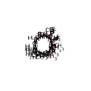 CC[C@H](C)[C@@H]1NC(=O)[C@H](CC(C)C)N(C)C(=O)C[C@@H](C(=O)N(C)C)N(C)C(=O)[C@H](C2CCCC2)N(C)C(=O)[C@H](COC)NC(=O)[C@H](CCN2CC(F)(F)C2)N(C)C(=O)[C@H](CCc2ccc(C(F)(F)F)c(Cl)c2)NC(=O)CN(C)C(=O)[C@H](CC2CCCCC2)N(C)C(=O)[C@@H]2CCN2C(=O)[C@H](C)N(C)C1=O